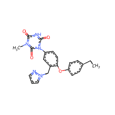 CCc1ccc(Oc2ccc(-n3c(=O)[nH]c(=O)n(C)c3=O)cc2Cn2cccn2)cc1